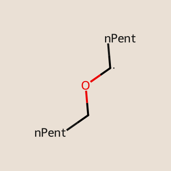 CCCCC[CH]OCCCCCC